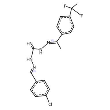 C/C(=N\NC(=N)N/N=C/c1ccc(Cl)cc1)c1ccc(C(C)(F)F)cc1